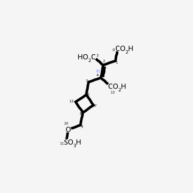 O=C(O)C/C(C(=O)O)=C(/CC1CC(COS(=O)(=O)O)C1)C(=O)O